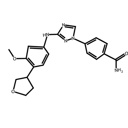 COc1cc(Nc2ncn(-c3ccc(C(N)=O)cc3)n2)ccc1C1CCOC1